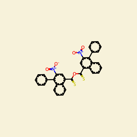 O=[N+]([O-])c1cc(C(=S)OC(=S)c2cc([N+](=O)[O-])c(-c3ccccc3)c3ccccc23)c2ccccc2c1-c1ccccc1